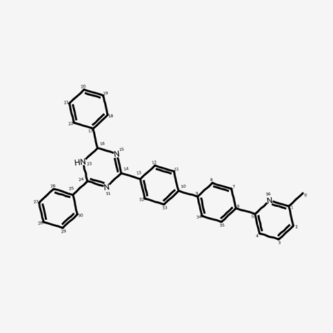 Cc1cccc(-c2ccc(-c3ccc(C4=NC(c5ccccc5)NC(c5ccccc5)=N4)cc3)cc2)n1